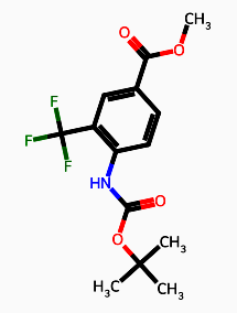 COC(=O)c1ccc(NC(=O)OC(C)(C)C)c(C(F)(F)F)c1